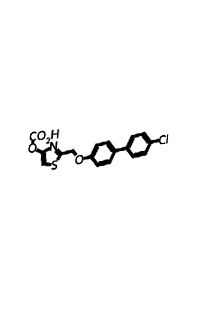 O=C(O)Oc1csc(COc2ccc(-c3ccc(Cl)cc3)cc2)n1